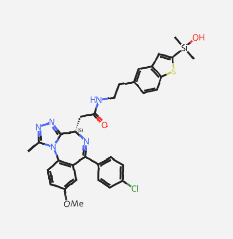 COc1ccc2c(c1)C(c1ccc(Cl)cc1)=N[C@@H](CC(=O)NCCc1ccc3sc([Si](C)(C)O)cc3c1)c1nnc(C)n1-2